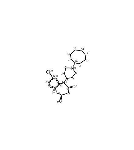 O=C1CC(=O)N(C2CCN(C3CCCCCCC3)CC2)c2cc(Cl)cnc2N1